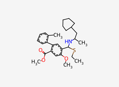 CCSC(NC(C)CC1CCCCC1)c1cc(-c2ccccc2C)c(C(=O)OC)cc1OC